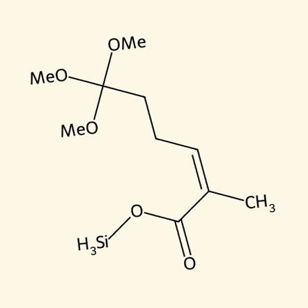 COC(CCC=C(C)C(=O)O[SiH3])(OC)OC